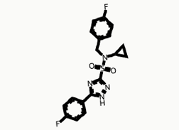 O=S(=O)(c1n[nH]c(-c2ccc(F)cc2)n1)N(Cc1ccc(F)cc1)C1CC1